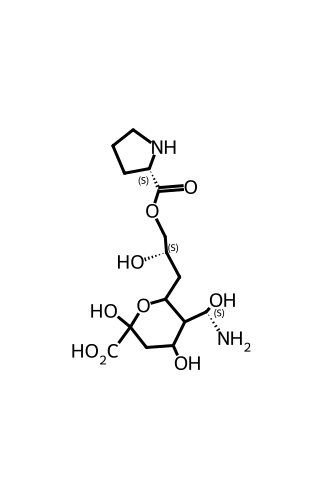 N[C@@H](O)C1C(O)CC(O)(C(=O)O)OC1C[C@H](O)COC(=O)[C@@H]1CCCN1